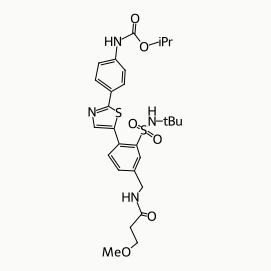 COCCC(=O)NCc1ccc(-c2cnc(-c3ccc(NC(=O)OC(C)C)cc3)s2)c(S(=O)(=O)NC(C)(C)C)c1